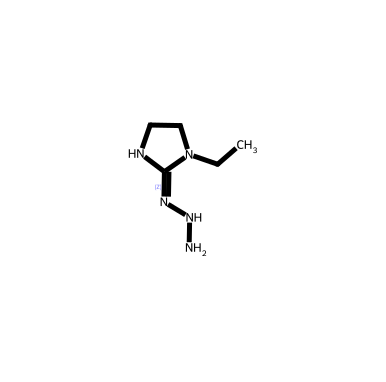 CCN1CCN/C1=N/NN